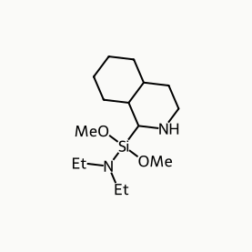 CCN(CC)[Si](OC)(OC)C1NCCC2CCCCC21